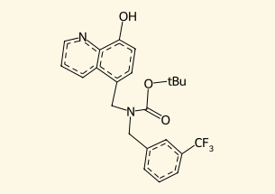 CC(C)(C)OC(=O)N(Cc1cccc(C(F)(F)F)c1)Cc1ccc(O)c2ncccc12